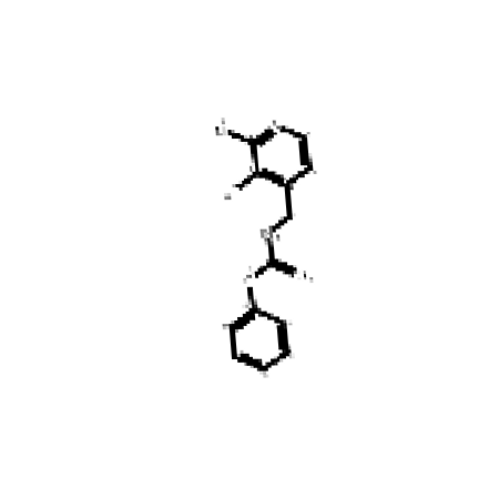 O=C(NCc1ccnc(Cl)c1F)Oc1ccccc1